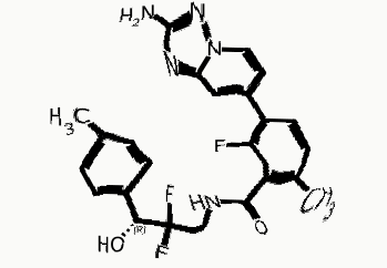 Cc1ccc([C@@H](O)C(F)(F)CNC(=O)c2c(C)ccc(-c3ccn4nc(N)nc4c3)c2F)cc1